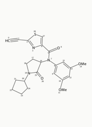 C#Cc1nc(C(=O)N(c2cc(OC)cc(OC)c2)C2CCN(C3CCCC3)C2=O)cs1